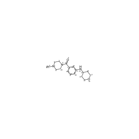 CC(C)N1CCN(C(=O)c2cc[c]c(NC3CCOCC3)c2)CC1